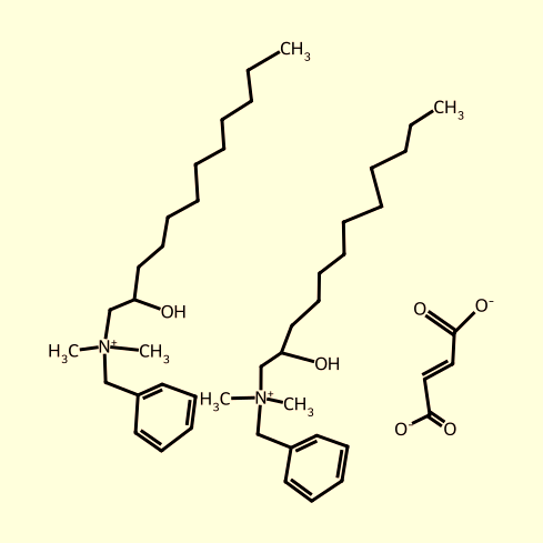 CCCCCCCCCCC(O)C[N+](C)(C)Cc1ccccc1.CCCCCCCCCCC(O)C[N+](C)(C)Cc1ccccc1.O=C([O-])/C=C/C(=O)[O-]